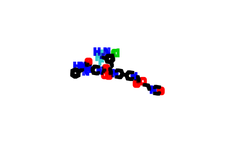 Nc1c(Cl)cc(C[C@@H](OC(=O)N2CCC(n3nc(-c4ccccc4)[nH]c3=O)CC2)C(=O)N2CCC(C3CCN(CC(=O)OCCCN4CCOCC4)CC3)CC2)cc1C(F)(F)F